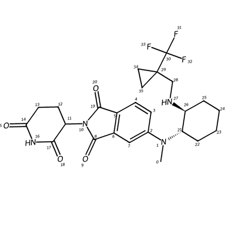 CN(c1ccc2c(c1)C(=O)N(C1CCC(=O)NC1=O)C2=O)[C@H]1CCCC[C@@H]1NCC1(C(F)(F)F)CC1